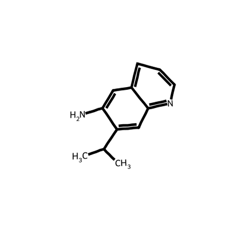 CC(C)c1cc2ncccc2cc1N